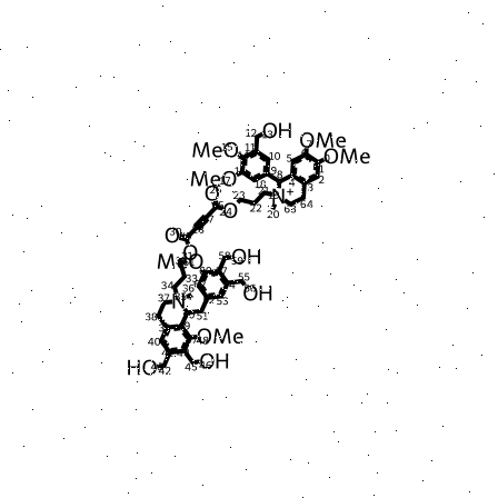 COc1cc2c(cc1OC)C(c1cc(CO)c(OC)c(OC)c1)[N+](C)(CCCOC(=O)C#CC(=O)OCCC[N+]1(C)CCc3cc(CO)c(CO)c(OC)c3C1Cc1cc(CO)c(CO)c(OC)c1)CC2